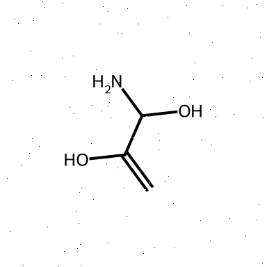 C=C(O)C(N)O